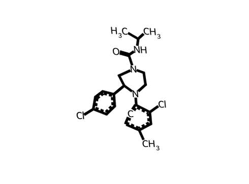 Cc1ccc(N2CCN(C(=O)NC(C)C)CC2c2ccc(Cl)cc2)c(Cl)c1